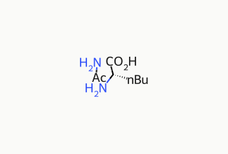 CC(N)=O.CCCC[C@H](N)C(=O)O